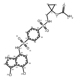 NC(=O)OC1(CNS(=O)(=O)c2ccc(S(=O)(=O)Nc3ccc(Cl)c4c(Cl)c[nH]c34)cc2)CC1